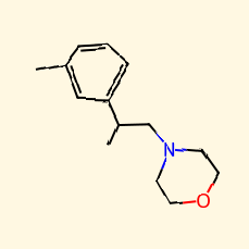 Cc1cccc(C(C)CN2CCOCC2)c1